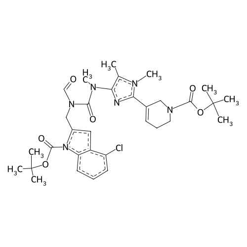 Cc1c(N(C)C(=O)N(C=O)Cc2cc3c(Cl)cccc3n2C(=O)OC(C)(C)C)nc(C2=CCCN(C(=O)OC(C)(C)C)C2)n1C